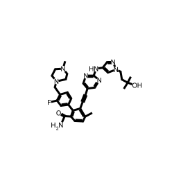 Cc1ccc(C(N)=O)c(-c2ccc(CN3CCN(C)CC3)c(F)c2)c1C#Cc1cnc(Nc2cnn(CCC(C)(C)O)c2)nc1